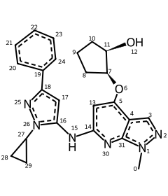 Cn1ncc2c(O[C@H]3CCC[C@H]3O)cc(Nc3cc(-c4ccccc4)nn3C3CC3)nc21